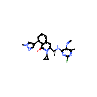 C=Nc1c(C)nc(Cl)nc1N[C@@H](C)c1cc2cccc(-c3cnn(C)c3)c2c(=O)n1C1CC1